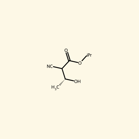 CC(C)OC(=O)C(C#N)[C@@H](C)O